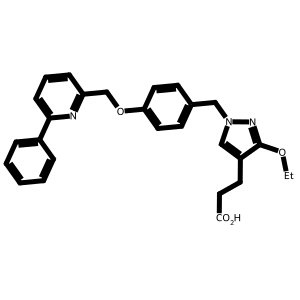 CCOc1nn(Cc2ccc(OCc3cccc(-c4ccccc4)n3)cc2)cc1CCC(=O)O